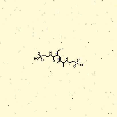 C=C(NCCS(=O)(=O)O)/C(C)=N/C(=C\C)C(=O)NCCS(=O)(=O)O